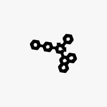 c1ccc(-c2ccc(-c3cc(-c4cc5ccccc5c5ccccc45)nc(-c4ccccc4)n3)cc2)cc1